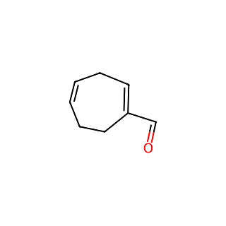 O=CC1=CCC=CCC1